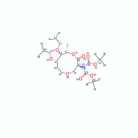 CC(C)CO[C@H]1[C@H](C)OC(=O)[C@@H](N(C(=O)OC(C)(C)C)C(=O)OC(C)(C)C)COCC[C@@H]1OCC(C)C